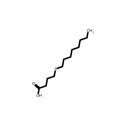 CCCCCCCCSCCCC(=O)O